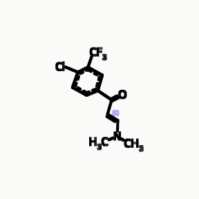 CN(C)/C=C/C(=O)c1ccc(Cl)c(C(F)(F)F)c1